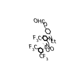 CCN(C[C@H]1CC[C@H](COC=O)CC1)c1ccc(C(F)(F)F)cc1CN1C(=O)O[C@H](c2cc(C(F)(F)F)cc(C(F)(F)F)c2)[C@@H]1C